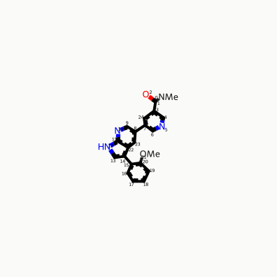 CNC(=O)c1cncc(-c2cnc3[nH]cc(-c4ccccc4OC)c3c2)c1